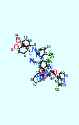 COc1ccc(CN(Cc2ccc(OC)cc2)c2cc(C)c(C(F)(F)F)c(-c3c(C#N)cc4c(N5CC6CCC(C5)N6C(=O)OC(C)(C)C)nc(OC[C@@]56CCCN5C[C@H](F)C6)nc4c3F)n2)cc1